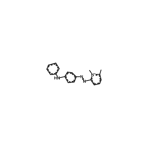 Cc1cccc(N=Nc2ccc(Nc3ccccc3)cc2)[n+]1C